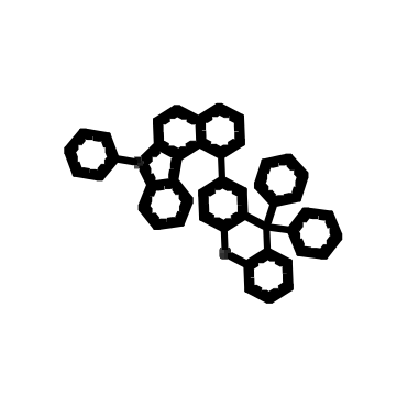 c1ccc(-n2c3ccccc3c3c4c(-c5ccc6c(c5)C(c5ccccc5)(c5ccccc5)c5ccccc5O6)cccc4ccc32)cc1